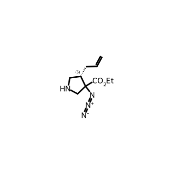 C=CC[C@H]1CNCC1(N=[N+]=[N-])C(=O)OCC